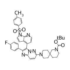 Cc1ccc(S(=O)(=O)n2ccc3c(-c4c(-c5ccc(F)cc5)nc5ccc(N6CCC7(CCCN(C(=O)OC(C)(C)C)C7)CC6)nn45)ccnc32)cc1